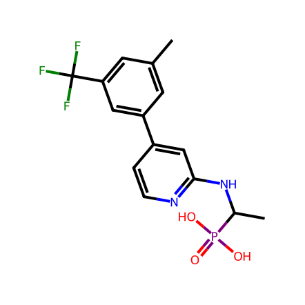 Cc1cc(-c2ccnc(NC(C)P(=O)(O)O)c2)cc(C(F)(F)F)c1